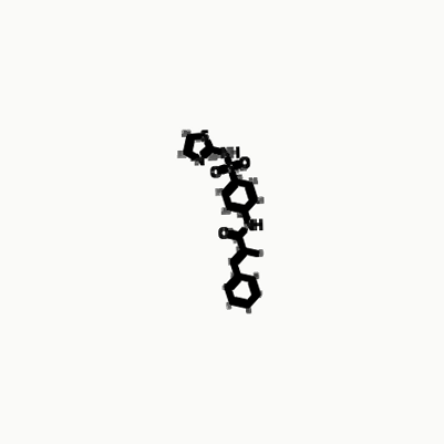 C/C(=C\c1ccccc1)C(=O)Nc1ccc(S(=O)(=O)Nc2nccs2)cc1